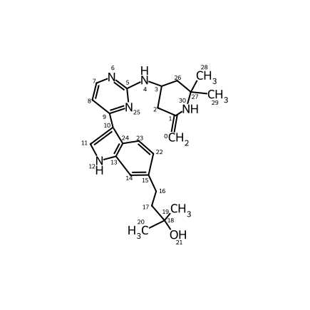 C=C1CC(Nc2nccc(-c3c[nH]c4cc(CCC(C)(C)O)ccc34)n2)CC(C)(C)N1